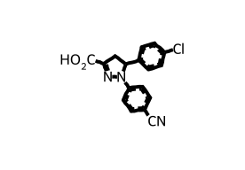 N#Cc1ccc(N2N=C(C(=O)O)CC2c2ccc(Cl)cc2)cc1